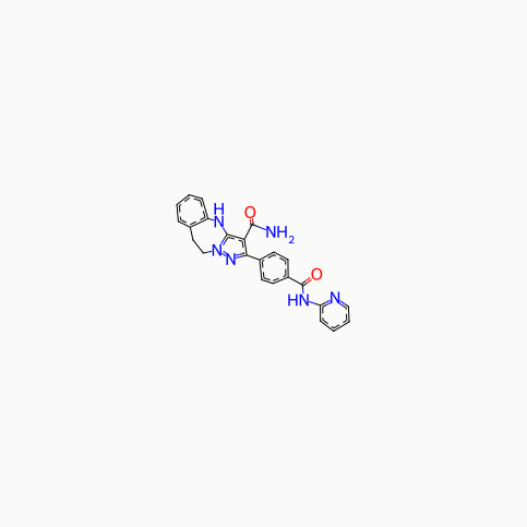 NC(=O)c1c(-c2ccc(C(=O)Nc3ccccn3)cc2)nn2c1Nc1ccccc1CC2